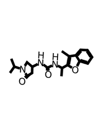 Cc1c(C(C)NC(=O)NC2CC(=O)N(C(C)C)C2)oc2ccccc12